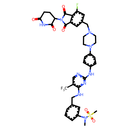 CN(c1cccc(CNc2nc(Nc3ccc(N4CCN(Cc5cc(F)c6c(c5)C(=O)N(C5CCC(=O)NC5=O)C6=O)CC4)cc3)ncc2C(F)(F)F)c1)S(C)(=O)=O